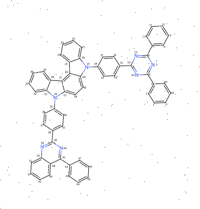 c1ccc(-c2nc(-c3ccccc3)nc(-c3ccc(-n4c5ccccc5c5c6c7ccccc7n(-c7ccc(-c8nc(-c9ccccc9)c9ccccc9n8)cc7)c6ccc54)cc3)n2)cc1